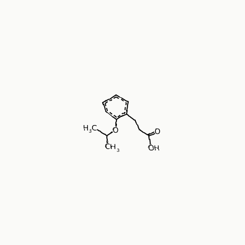 CC(C)Oc1ccccc1CCC(=O)O